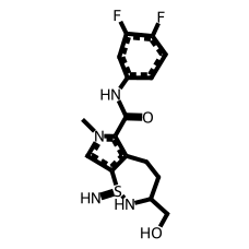 Cn1cc2c(c1C(=O)Nc1ccc(F)c(F)c1)CCC(CO)NS2=N